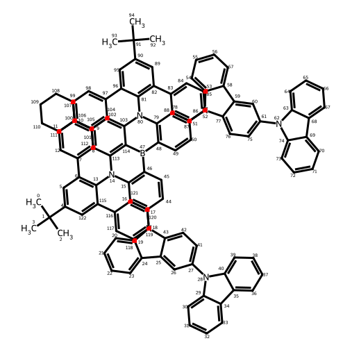 CC(C)(C)c1cc(-c2ccccc2)c(N2c3cc(-n4c5ccccc5c5cc(-n6c7ccccc7c7ccccc76)ccc54)ccc3B3c4ccc(-n5c6ccccc6c6cc(-n7c8ccccc8c8ccccc87)ccc65)cc4N(c4c(-c5ccccc5)cc(C(C)(C)C)cc4-c4ccccc4)c4cc(C5CCCCC5)cc2c43)c(-c2ccccc2)c1